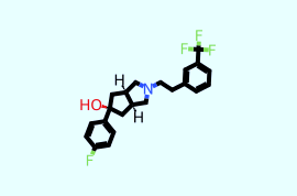 O[C@@]1(c2ccc(F)cc2)C[C@H]2CN(CCc3cccc(C(F)(F)F)c3)C[C@H]2C1